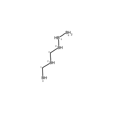 [BH]CBCBBB